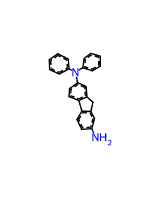 Nc1ccc2c(c1)Cc1cc(N(c3ccccc3)c3ccccc3)ccc1-2